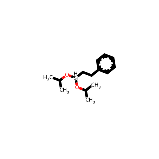 CC(C)O[SiH](CCc1ccccc1)OC(C)C